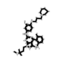 COC(C)(C)CCn1nc(N)c2c(-c3c(C)cccc3C)nc(Nc3ccc(OCCCN4CCCCC4)c(F)c3)nc21